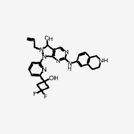 C=CCN1C(O)c2cnc(Nc3ccc4c(c3)CCNC4)nc2N1c1cccc(C2(O)CC(F)(F)C2)n1